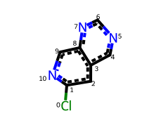 Clc1cc2cncnc2cn1